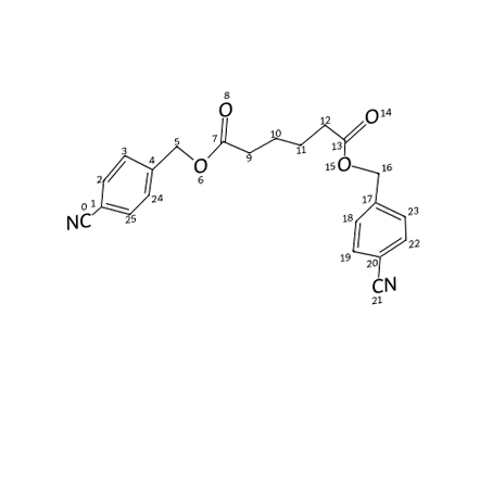 N#Cc1ccc(COC(=O)CCCCC(=O)OCc2ccc(C#N)cc2)cc1